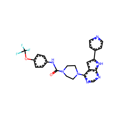 O=C(Nc1ccc(OC(F)(F)F)cc1)N1CCN(c2ncnc3[nH]c(-c4ccncc4)cc23)CC1